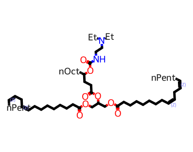 CCCCC/C=C\C/C=C\CCCCCCCC(=O)OCC(COC(=O)CCCCCCC/C=C\C/C=C\CCCCC)OC(=O)CCC(CCCCCCCC)OC(=O)NCCN(CC)CC